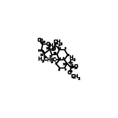 C=C1CCC2[C@](C)(CCC[C@]2(C)C(=O)OC)C1CC1(OC)OC(=O)C=C1C